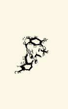 CCS(=O)(=O)c1ccc(Cl)cc1CNC(=O)c1cc(OC(F)(F)F)c(Br)cc1N